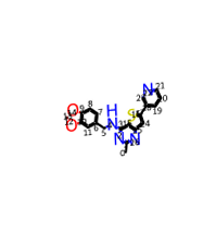 Cc1nc(NCc2ccc3c(c2)OCO3)c2sc(-c3cccnc3)cc2n1